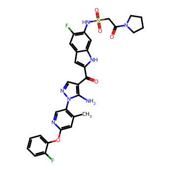 Cc1cc(Oc2ccccc2F)ncc1-n1ncc(C(=O)c2cc3cc(F)c(NS(=O)(=O)CC(=O)N4CCCC4)cc3[nH]2)c1N